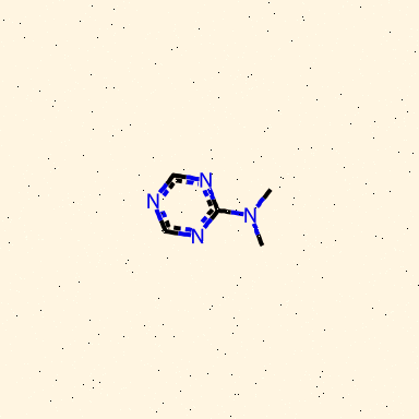 CN(C)c1ncncn1